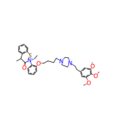 CC[N+]1(c2ccccc2OCCCCN2CCN(CCc3cc(OC)c(OC)c(OC)c3)CC2)Sc2ccccc2C(C)C1=O